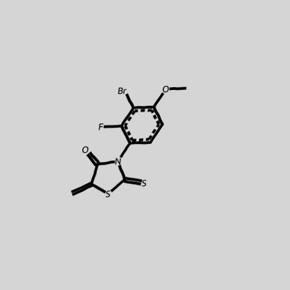 C=C1SC(=S)N(c2ccc(OC)c(Br)c2F)C1=O